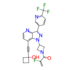 C=C(F)C(=O)N1CC(n2nc(-c3ccc(C(F)(F)F)nc3)c3nccc(C#CC4(O)CCC4)c32)C1